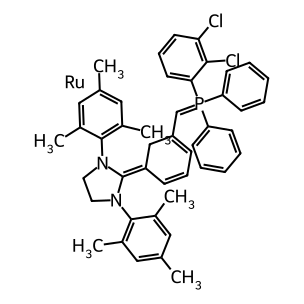 Cc1cc(C)c(N2CCN(c3c(C)cc(C)cc3C)C2=C2C=CC=C(C=P(c3ccccc3)(c3ccccc3)c3cccc(Cl)c3Cl)C2)c(C)c1.[Ru]